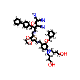 CC1(c2ccc(-c3ccccc3)cc2)OC(=C(C#N)C#N)C(C#N)=C1/C=C/c1sc(/C=C/c2ccc(N(CCCCO)CCCCO)cc2OCc2ccccc2)c2c1OCCO2